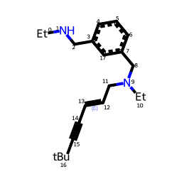 CCNCc1cccc(CN(CC)C/C=C/C#CC(C)(C)C)c1